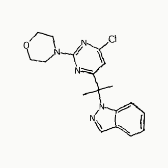 CC(C)(c1cc(Cl)nc(N2CCOCC2)n1)n1ncc2ccccc21